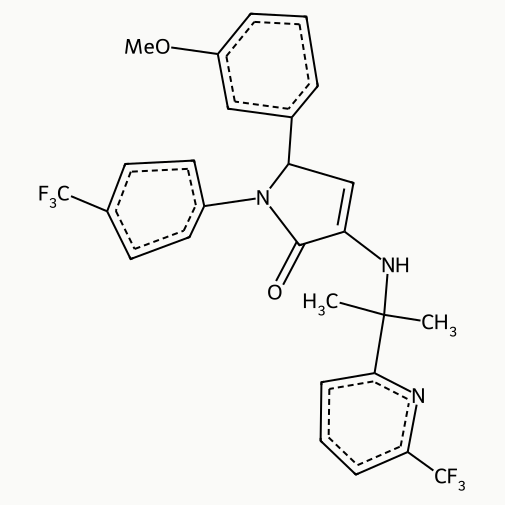 COc1cccc(C2C=C(NC(C)(C)c3cccc(C(F)(F)F)n3)C(=O)N2c2ccc(C(F)(F)F)cc2)c1